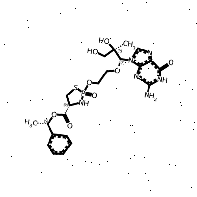 C[C@H](OC(=O)[C@@H]1CSP(=O)(OCCO[C@@H](n2cnc3c(=O)[nH]c(N)nc32)[C@](C)(O)CO)N1)c1ccccc1